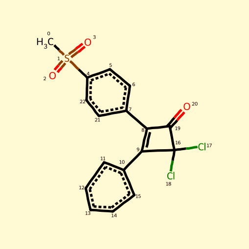 CS(=O)(=O)c1ccc(C2=C(c3ccccc3)C(Cl)(Cl)C2=O)cc1